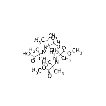 CC(C)C(C)(N=NC(C)(C)C(=O)O)C(=O)O.COC(=O)C(C)(C)N=NC(C)(C)C(=O)OC